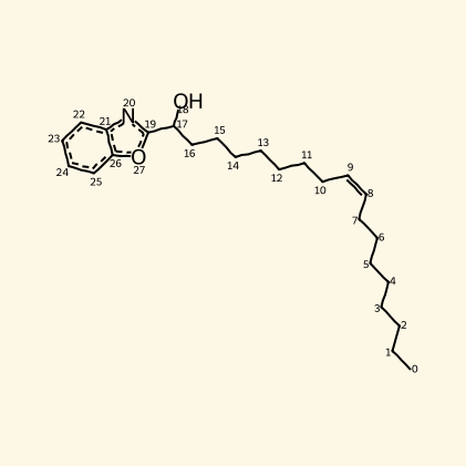 CCCCCCCC/C=C\CCCCCCCC(O)c1nc2ccccc2o1